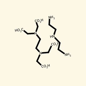 NCCNCCN.O=C(O)CN(CCN(CC(=O)O)CC(=O)O)CC(=O)O